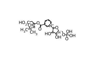 C[N+](C)(C)C[C@@H](CC(=O)O)OC(=O)c1ccc[n+]([C@@H]2O[C@H](COP(=O)(O)O)[C@@H](O)[C@H]2O)c1